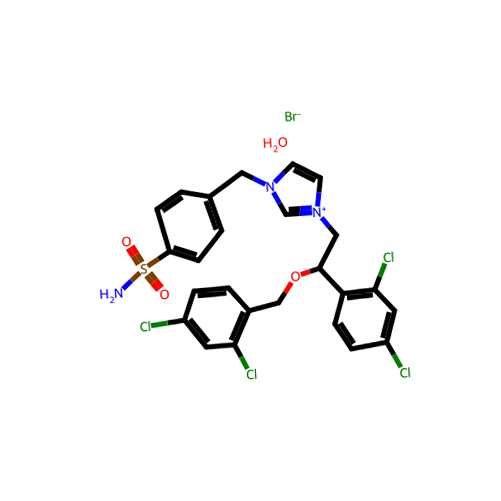 NS(=O)(=O)c1ccc(Cn2cc[n+](CC(OCc3ccc(Cl)cc3Cl)c3ccc(Cl)cc3Cl)c2)cc1.O.[Br-]